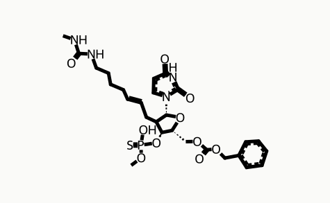 CNC(=O)NCCCC/C=C/CC1[C@@H](OP(O)(=S)OC)[C@@H](COC(=O)OCc2ccccc2)O[C@H]1n1ccc(=O)[nH]c1=O